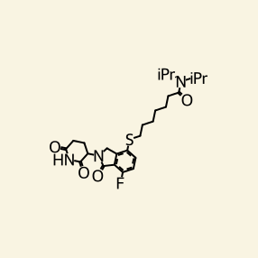 CC(C)N(C(=O)CCCCCCSc1ccc(F)c2c1CN(C1CCC(=O)NC1=O)C2=O)C(C)C